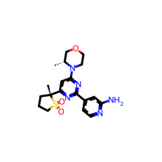 C[C@@H]1COCCN1c1cc([C@@]2(C)CCCS2(=O)=O)nc(-c2ccnc(N)c2)n1